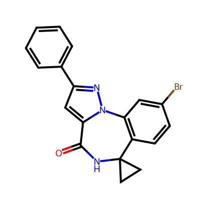 O=C1NC2(CC2)c2ccc(Br)cc2-n2nc(-c3ccccc3)cc21